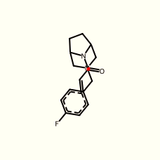 C=CC(=O)N1C2CCC1CN(Cc1ccc(F)cc1)C2